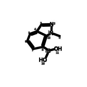 Cn1ncc2cccc(B(O)O)c21